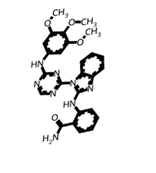 COc1cc(Nc2ncnc(-n3c(Nc4ccccc4C(N)=O)nc4ccccc43)n2)cc(OC)c1OC